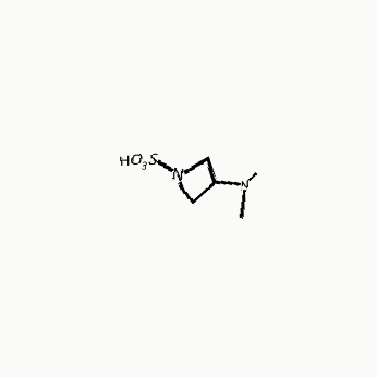 CN(C)C1CN(S(=O)(=O)O)C1